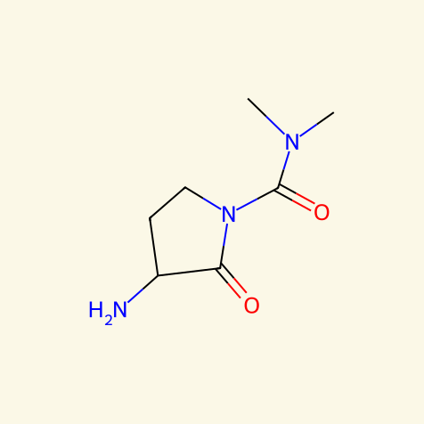 CN(C)C(=O)N1CCC(N)C1=O